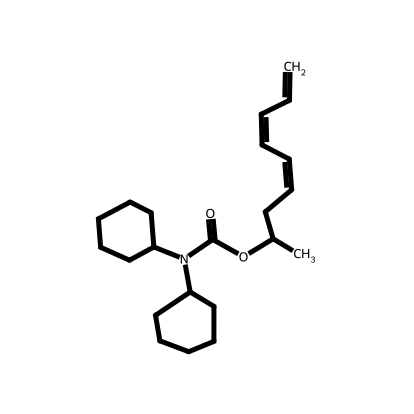 C=C/C=C\C=C/CC(C)OC(=O)N(C1CCCCC1)C1CCCCC1